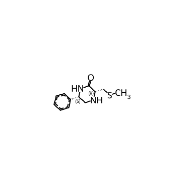 CSC[C@@H]1NC[C@H](c2ccccc2)NC1=O